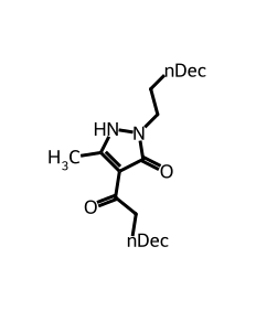 CCCCCCCCCCCCn1[nH]c(C)c(C(=O)CCCCCCCCCCC)c1=O